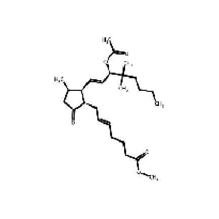 CCCCC(C)(C)[C@@H](C=C[C@@H]1[C@H](C)CC(=O)[C@@H]1CC=CCCCC(=O)OC)OC(C)=O